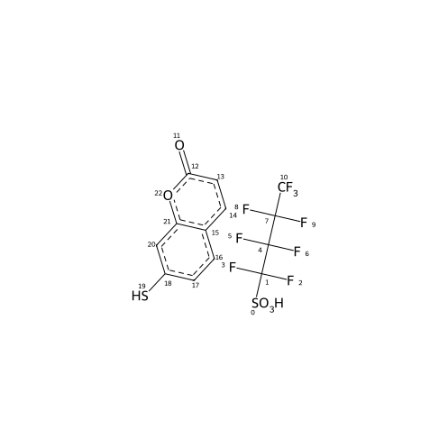 O=S(=O)(O)C(F)(F)C(F)(F)C(F)(F)C(F)(F)F.O=c1ccc2ccc(S)cc2o1